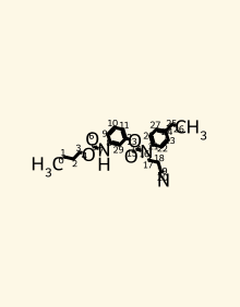 CCCCOC(=O)Nc1cccc(OC(=O)N(CCC#N)c2ccc(CC)cc2)c1